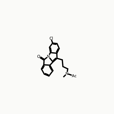 CC(=O)N(C)CCCc1c2n(c3cc(Cl)ccc13)C(=O)c1ccccc1-2